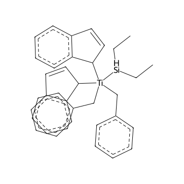 CC[SiH](CC)[Ti]([CH2]c1ccccc1)([CH2]c1ccccc1)([CH]1C=Cc2ccccc21)[CH]1C=Cc2ccccc21